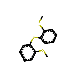 CSc1ccccc1Sc1ccccc1SC